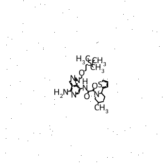 CC1CCC(c2cccs2)N(C(=O)C(=O)Nc2cnc(N)c3cnn(COCC[Si](C)(C)C)c23)C1